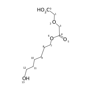 O=C(O)COCC(=O)OCCCCCCO